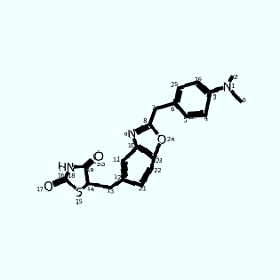 CN(C)c1ccc(Cc2nc3cc(CC4SC(=O)NC4=O)ccc3o2)cc1